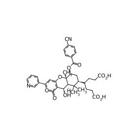 CC1(C)[C@H]2[C@@H](O)c3c(cc(-c4cccnc4)oc3=O)O[C@]2(C)[C@@H](OC(=O)c2ccc(C#N)cc2)C[C@H]1C(CCC(=O)O)CCC(=O)O